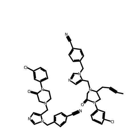 CC#CCC1CN(c2cccc(Cl)c2)C(=O)CN1Cc1cncn1Cc1ccc(C#N)cc1.N#Cc1ccc(Cn2cncc2CN2CCN(c3cccc(Cl)c3)C(=O)C2)cc1